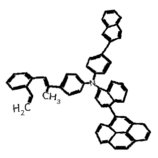 C=Cc1ccccc1/C=C(\C)c1ccc(N(c2ccc(-c3ccc4ccccc4c3)cc2)c2ccc(C3=C4C=CC=C5C=CC6=C(C(=C3)CC=C6)C54)c3ccccc23)cc1